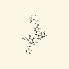 COC(=O)c1cc(-c2sc3ccccc3c2Cc2ccc(OCCN3CCCC3=O)cc2)ccc1OCCN1CCCC1